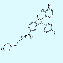 CCc1ccc(-c2c(-c3ccc[nH]c3=O)[nH]c3ccc(C(=O)NCCCN4CCOCC4)cc23)cc1